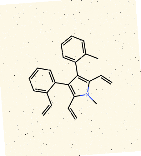 C=Cc1ccccc1-c1c(-c2ccccc2C)c(C=C)n(C)c1C=C